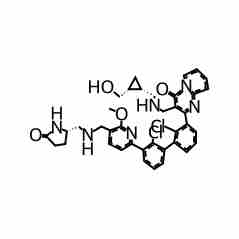 COc1nc(-c2cccc(-c3cccc(-c4nc5ccccn5c(=O)c4CNC[C@H]4C[C@H]4CO)c3Cl)c2Cl)ccc1CNC[C@@H]1CCC(=O)N1